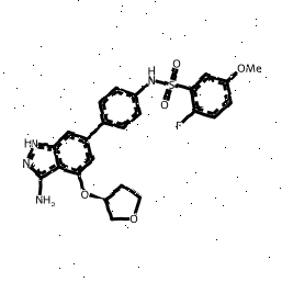 COc1ccc(F)c(S(=O)(=O)Nc2ccc(-c3cc(O[C@H]4CCOC4)c4c(N)n[nH]c4c3)cc2)c1